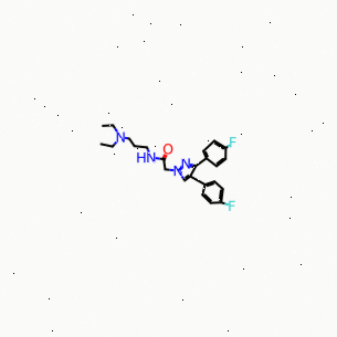 CCN(CC)CCCNC(=O)Cn1cc(-c2ccc(F)cc2)c(-c2ccc(F)cc2)n1